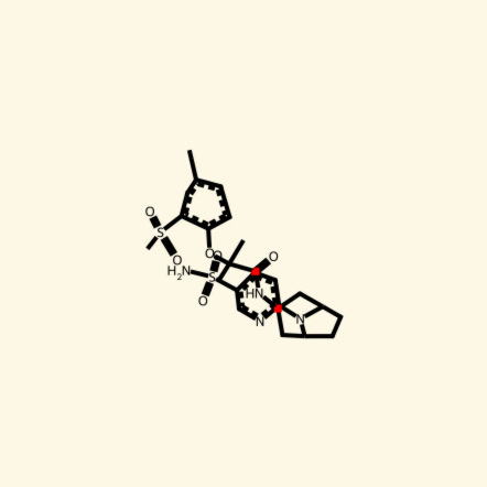 Cc1ccc(OC(C)(C)C(=O)NC2CC3CCC(C2)N3c2ccc(S(N)(=O)=O)cn2)c(S(C)(=O)=O)c1